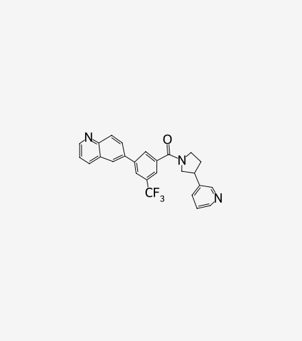 O=C(c1cc(-c2ccc3ncccc3c2)cc(C(F)(F)F)c1)N1CCC(c2cccnc2)C1